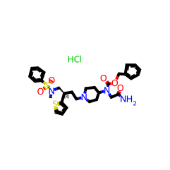 CN(C[C@@H](CCN1CCC(N(CC(N)=O)C(=O)OCc2ccccc2)CC1)c1cccs1)S(=O)(=O)c1ccccc1.Cl